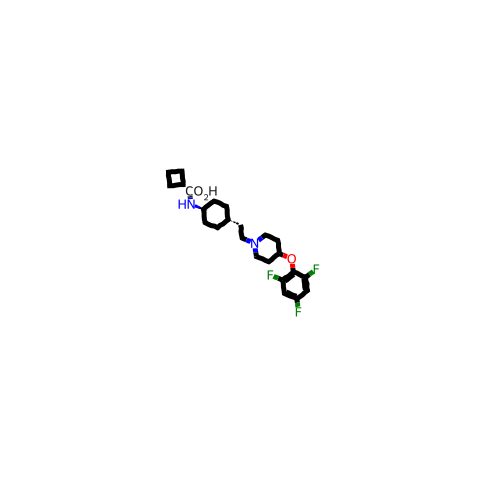 C1CCC1.O=C(O)N[C@H]1CC[C@H](CCN2CCC(Oc3c(F)cc(F)cc3F)CC2)CC1